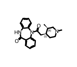 C[C@H]1CN(C)CC[C@H]1CC(=O)N1c2ccccc2NC(=O)c2ccccc21